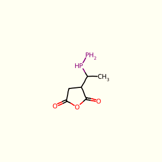 CC(PP)C1CC(=O)OC1=O